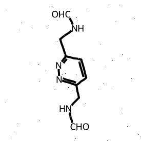 O=CNCc1ccc(CNC=O)nn1